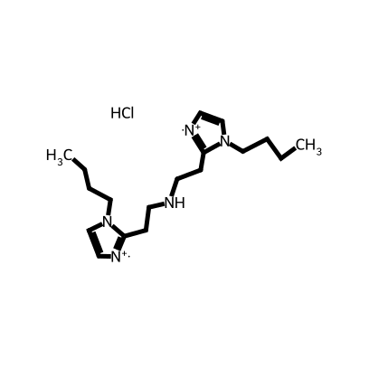 CCCCN1C=C[N+]=C1CCNCCC1=[N+]C=CN1CCCC.Cl